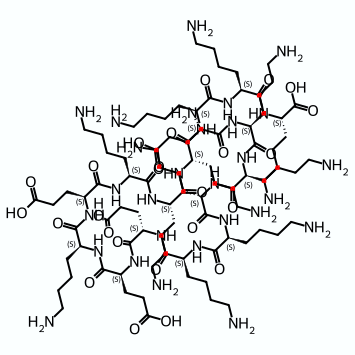 NCCCC[C@H](NC(=O)[C@H](CCCCN)NC(=O)[C@H](CCCCN)NC(=O)[C@H](CCCCN)NC(=O)[C@H](CCCCN)NC(=O)[C@H](CCCCN)NC(=O)[C@H](CCC(=O)O)NC(=O)[C@H](CCCCN)NC(=O)[C@H](CCC(=O)O)NC(=O)[C@H](CCC(=O)O)NC(=O)[C@H](CCCCN)NC(=O)[C@H](CCCCN)NC(=O)[C@H](CCCCN)NC(=O)[C@H](CCCCN)NC(=O)[C@H](CCCCN)NC(=O)[C@@H](N)CCC(=O)O)C(=O)O